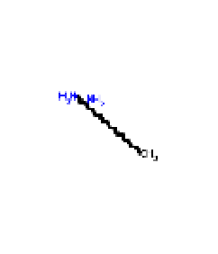 CCCCCCCCCCCCCCCCC(N)C=CN